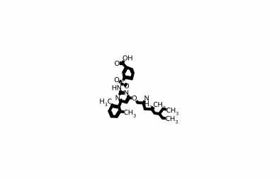 C=C(CC(N)COc1cc(-c2c(C)cccc2C)nc(NS(=O)(=O)c2cccc(C(=O)O)c2)n1)CC(CC)CC